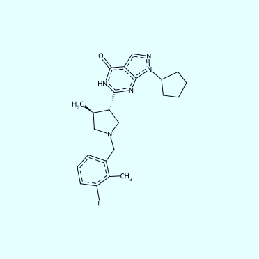 Cc1c(F)cccc1CN1C[C@@H](C)[C@H](c2nc3c(cnn3C3CCCC3)c(=O)[nH]2)C1